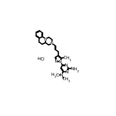 Cc1c(CC=CN2CCN3c4ccccc4CCC3C2)cnn1-c1cc(N(C)C)nc(N)n1.Cl